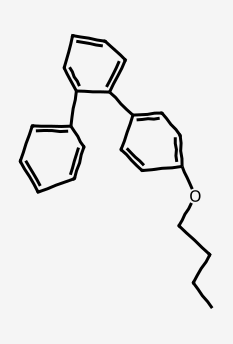 CCCCOc1ccc(-c2ccccc2-c2ccccc2)cc1